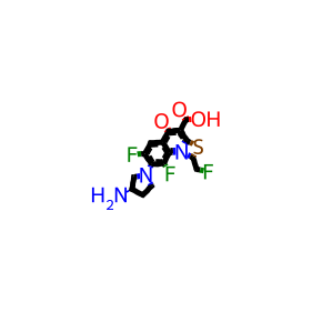 N[C@H]1CCN(c2c(F)cc3c(=O)c(C(=O)O)c4n(c3c2F)C(CF)S4)C1